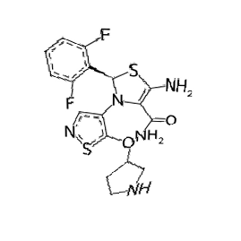 NC(=O)C1=C(N)S[C@H](c2c(F)cccc2F)N1c1cnsc1OC1CCNC1